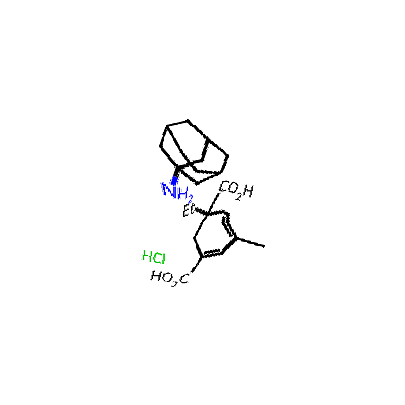 CCC1(C(=O)O)C=C(C)C=C(C(=O)O)C1.Cl.NC12CC3CC(CC(C3)C1)C2